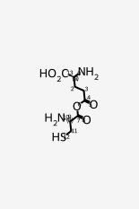 N[C@@H](CCC(=O)OC(=O)[C@@H](N)CS)C(=O)O